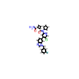 NC(=O)[C@@H]1CC[C@@H]1C(=O)N(c1cc(-c2ccc3ncn(Cc4cccc(F)c4)c3c2)c(Cl)cn1)C1CCCC1